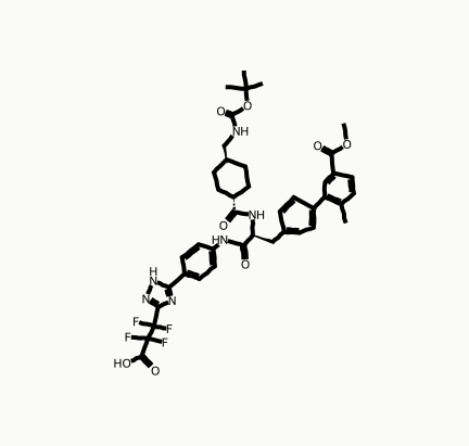 COC(=O)c1ccc(C)c(-c2ccc(C[C@H](NC(=O)[C@H]3CC[C@H](CNC(=O)OC(C)(C)C)CC3)C(=O)Nc3ccc(-c4nc(C(F)(F)C(F)(F)C(=O)O)n[nH]4)cc3)cc2)c1